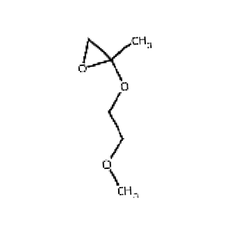 COCCOC1(C)CO1